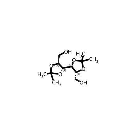 CC1(C)O[C@@H]([C@H]2OC(C)(C)O[C@@H]2CO)[C@H](CO)O1